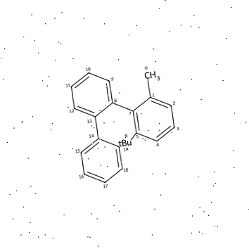 Cc1cccc(C(C)(C)C)c1-c1ccccc1-c1ccccc1